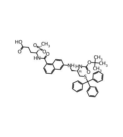 CC(C)(C)OC(=O)N[C@H](CNc1ccc2c(C(=O)NC(CCC(=O)O)S(C)(=O)=O)cccc2c1)CSC(c1ccccc1)(c1ccccc1)c1ccccc1